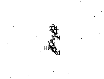 N#CC(CCCN1CCC(O)(c2ccc(Cl)cc2)CC1)c1ccc2ccccc2c1